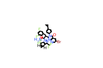 NC(=O)C(C(Cc1cc(F)cc(F)c1)c1nc2ncc(Br)cc2c(=O)n1-c1ccc(C2CC2)cc1)n1nc(C(F)F)c2c1C(F)(F)[C@@H]1C[C@H]21